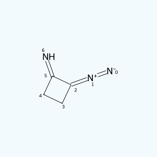 [N-]=[N+]=C1CCC1=N